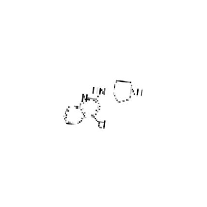 Clc1cc(NC2CCNCC2)nc2ccccc12